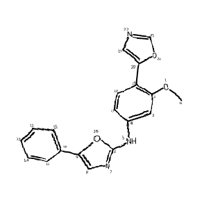 COc1cc(Nc2ncc(-c3ccccc3)o2)ccc1-c1cnco1